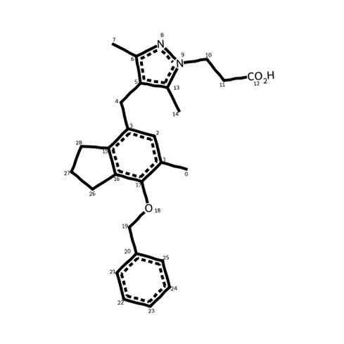 Cc1cc(Cc2c(C)nn(CCC(=O)O)c2C)c2c(c1OCc1ccccc1)CCC2